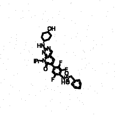 CC(C)n1c(=O)c(-c2cc(F)c(NS(=O)(=O)Cc3ccccc3)c(F)c2F)cc2cnc(N[C@H]3CC[C@H](O)CC3)nc21